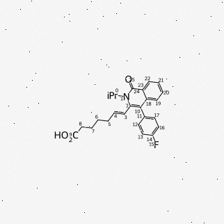 CC(C)n1c(C=CCCCCC(=O)O)c(-c2ccc(F)cc2)c2ccccc2c1=O